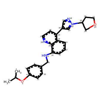 CC(C)Oc1ccc(CNc2cccc3c(-c4cnn(C5CCOC5)c4)ccnc23)cc1